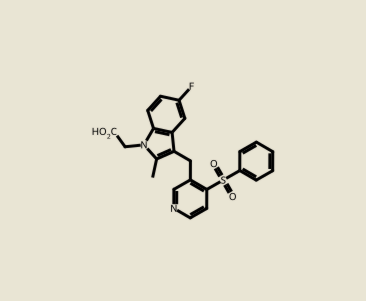 Cc1c(Cc2cnccc2S(=O)(=O)c2ccccc2)c2cc(F)ccc2n1CC(=O)O